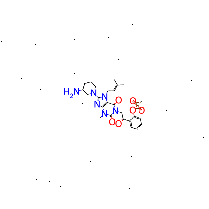 CC(C)=CCn1c(N2CCCC(N)C2)nc2c1c(=O)n(CC(=O)c1ccccc1OS(C)(=O)=O)c(=O)n2C